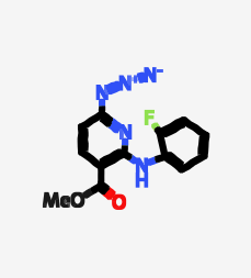 COC(=O)c1ccc(N=[N+]=[N-])nc1Nc1ccccc1F